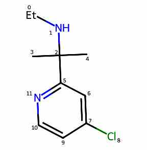 CCNC(C)(C)c1cc(Cl)ccn1